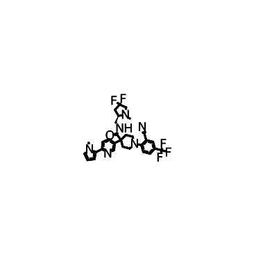 CN1CC(F)(F)C[C@@H]1CNC(=O)C1(c2ccc(-c3cccn3C)nc2)CCN(c2ccc(C(F)(F)F)cc2C#N)CC1